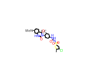 CNc1ccc2c(=O)n(-c3ccc(NC(=O)NS(=O)(=O)c4cc(Cl)c(C)s4)cc3C(F)(F)F)c(=O)[nH]c2c1